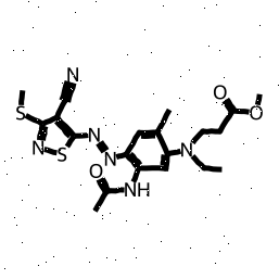 CCN(CCC(=O)OC)c1cc(NC(C)=O)c(N=Nc2snc(SC)c2C#N)cc1C